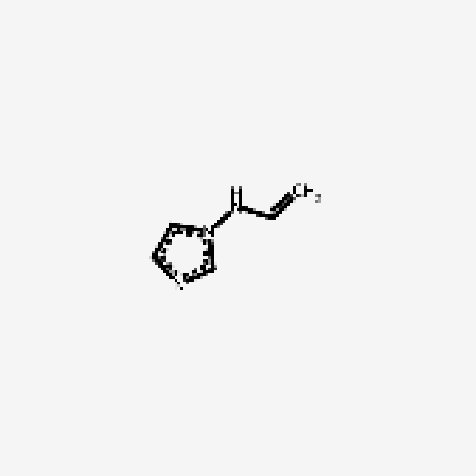 C=CNn1ccnc1